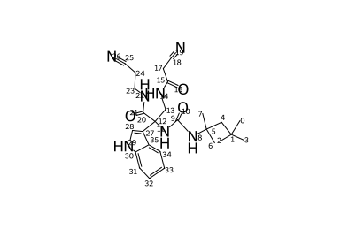 CC(C)(C)CC(C)(C)NC(=O)NC(CNC(=O)CC#N)(C(=O)NCCC#N)c1c[nH]c2ccccc12